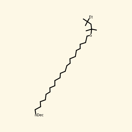 CCCCCCCCCCCCCCCCCCCCCCCCCCCCCCCSC(C)(C)CC(C)(C)CC